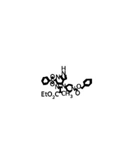 CCOC(=O)C(C)c1nc2c(S(=O)(=O)c3ccccc3)nc3[nH]ccc3c2n1C1CCN(C(=O)OCc2ccccc2)CC1